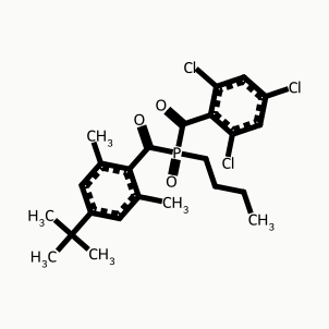 CCCCP(=O)(C(=O)c1c(C)cc(C(C)(C)C)cc1C)C(=O)c1c(Cl)cc(Cl)cc1Cl